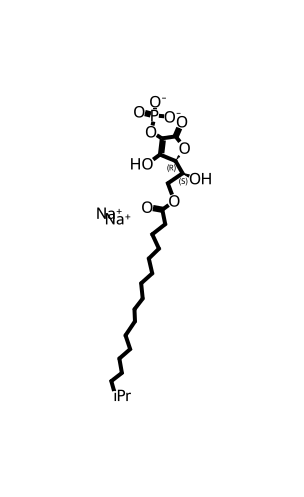 CC(C)CCCCCCCCCCCCCCC(=O)OC[C@H](O)[C@H]1OC(=O)C(OP(=O)([O-])[O-])=C1O.[Na+].[Na+]